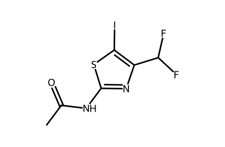 CC(=O)Nc1nc(C(F)F)c(I)s1